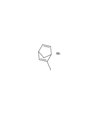 IC1=CC2C=CC1C2.[Rh]